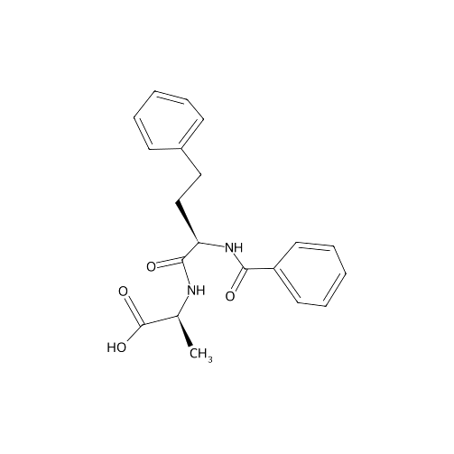 C[C@H](NC(=O)[C@@H](CCc1ccccc1)NC(=O)c1ccccc1)C(=O)O